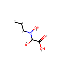 CCCN(O)C(O)C(=O)O